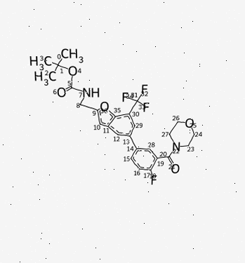 CC(C)(C)OC(=O)NCc1cc2cc(-c3ccc(F)c(C(=O)N4CCOCC4)c3)cc(C(F)(F)F)c2o1